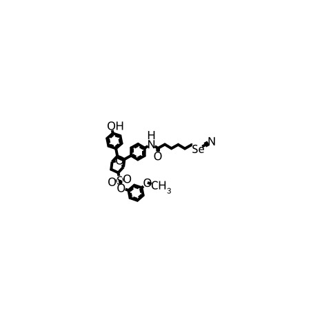 COc1cccc(OS(=O)(=O)C2CC3OC2C(c2ccc(NC(=O)CCCCC[Se]C#N)cc2)=C3c2ccc(O)cc2)c1